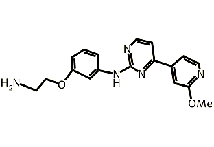 COc1cc(-c2ccnc(Nc3cccc(OCCN)c3)n2)ccn1